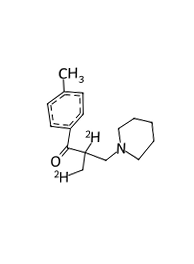 [2H]CC([2H])(CN1CCCCC1)C(=O)c1ccc(C)cc1